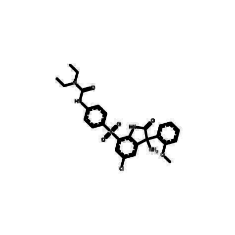 CCN(CC)C(=O)Nc1ccc(S(=O)(=O)c2cc(Cl)cc3c2NC(=O)C3(N)c2ccccc2OC)cc1